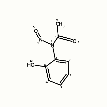 CC(=O)N(N=O)c1ccccc1O